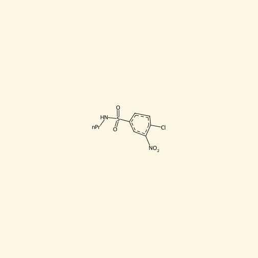 CCCNS(=O)(=O)c1ccc(Cl)c([N+](=O)[O-])c1